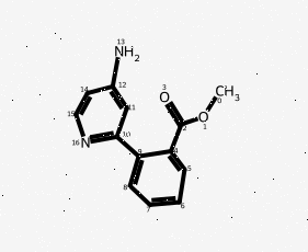 COC(=O)c1ccccc1-c1cc(N)ccn1